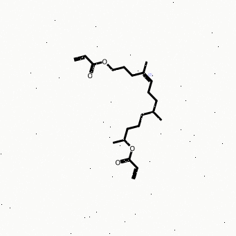 C=CC(=O)OCCC/C(C)=C\CCC(C)CCCC(C)OC(=O)C=C